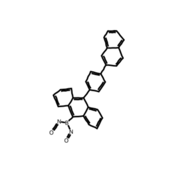 O=NB(N=O)c1c2ccccc2c(-c2ccc(-c3ccc4ccccc4c3)cc2)c2ccccc12